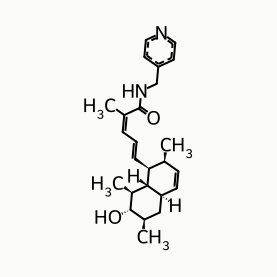 CC(=CC=C[C@@H]1[C@H]2[C@H](C)[C@@H](O)[C@H](C)C[C@@H]2C=C[C@@H]1C)C(=O)NCc1ccncc1